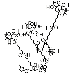 CC(=O)NC1C(OCCCCCC(=O)NCCCCCC(=O)N(CCO)CCOP(=O)(O)OCCN(CCOP(=O)(O)OCCN(CCOC2CCC(C)C2)C(=O)CCCCCNC(=O)CCCCCOC2OC(CO)C(O)C(O)C2NC(C)=O)C(=O)CCCCCNC(=O)CCCCCOC2OC(CO)C(O)C(O)C2NC(C)=O)OC(CO)C(O)C1O